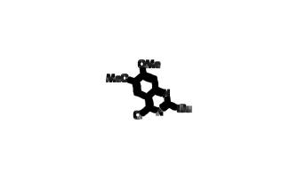 COc1cc2nc(C(C)(C)C)nc(Cl)c2cc1OC